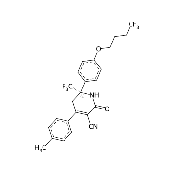 Cc1ccc(C2=C(C#N)C(=O)N[C@@](c3ccc(OCCCC(F)(F)F)cc3)(C(F)(F)F)C2)cc1